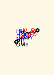 COc1cccc2[nH]c(C(=O)N[C@@H](CC(C)C)C(=O)NC(CC(=O)COC(=O)C(=O)c3ccccc3)[C@@H]3CCNC3=O)cc12